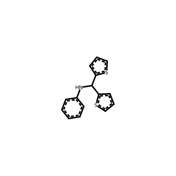 c1ccc(NC(c2cccs2)c2cccs2)cc1